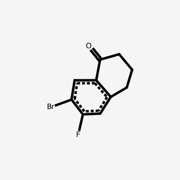 O=C1CCCc2cc(F)c(Br)cc21